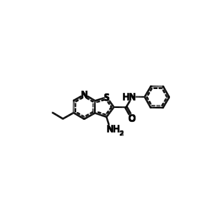 CCc1cnc2sc(C(=O)Nc3ccccc3)c(N)c2c1